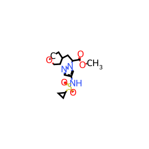 COC(=O)C(CC1CCOCC1)n1cc(NS(=O)(=O)C2CC2)cn1